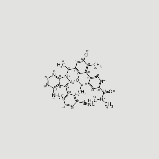 CCOc1c(C(C)n2nc(-c3cc(C#N)ccn3)c3c(N)ncnc32)cc(Cl)c(C)c1-c1ccc(C(=O)N(C)C)nc1